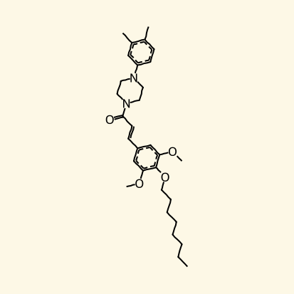 CCCCCCCCOc1c(OC)cc(/C=C/C(=O)N2CCN(c3ccc(C)c(C)c3)CC2)cc1OC